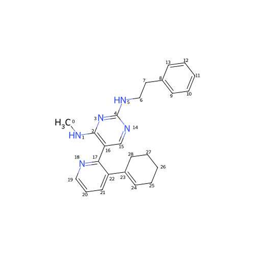 CNc1nc(NCCc2ccccc2)ncc1-c1ncccc1C1=CCCCC1